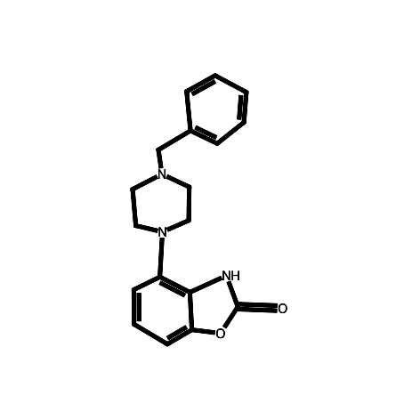 O=c1[nH]c2c(N3CCN(Cc4ccccc4)CC3)cccc2o1